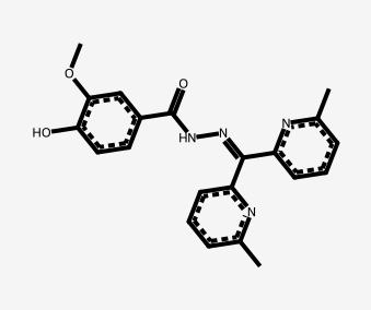 COc1cc(C(=O)NN=C(c2cccc(C)n2)c2cccc(C)n2)ccc1O